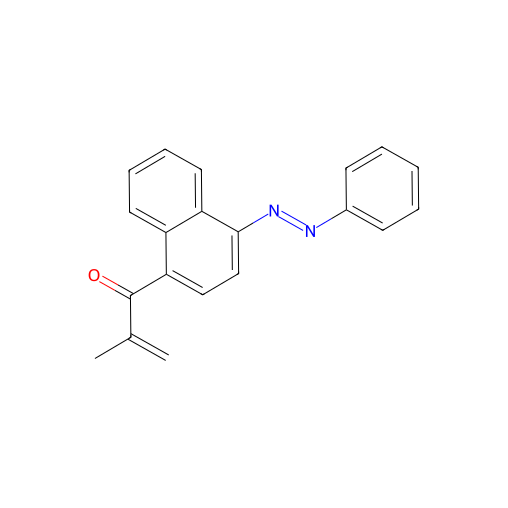 C=C(C)C(=O)c1ccc(N=Nc2ccccc2)c2ccccc12